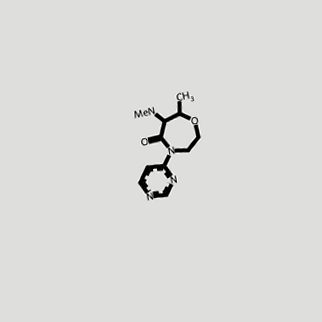 CNC1C(=O)N(c2ccncn2)CCOC1C